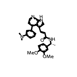 COc1ccc([C@@H](C)NC(=O)/C=C/c2c[nH]c3nccc(-c4cccc(N(C)C)c4)c23)cc1OC